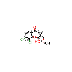 COCC1(C(=O)O)CC1C(=O)c1ccc(Cl)c(Cl)c1